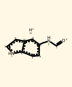 O=CNc1ccc2[nH]ccc2c1.[H+]